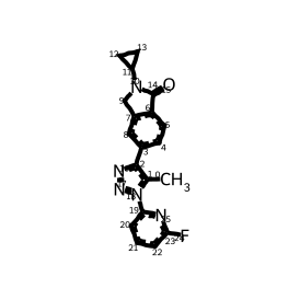 Cc1c(-c2ccc3c(c2)CN(C2CC2)C3=O)nnn1-c1cccc(F)n1